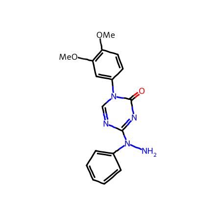 COc1ccc(-n2cnc(N(N)c3ccccc3)nc2=O)cc1OC